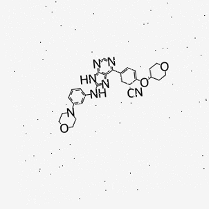 N#C[C@@H]1CC(c2ncnc3[nH]c(Nc4cccc(N5CCOCC5)c4)nc23)=CC=C1OC1CCOCC1